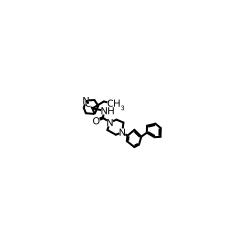 CCC1(NC(=O)N2CCN(c3cccc(-c4ccccc4)c3)CC2)CN2CCC1CC2